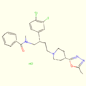 Cc1nnc(C2CCN(CCC(CN(C)C(=O)c3ccccc3)c3ccc(Cl)c(Cl)c3)CC2)o1.Cl